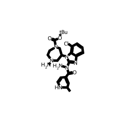 CC1C=C(C(=O)N(N)c2nc3cccc(Cl)c3n2C2CN(N)CCN(C(=O)OC(C)(C)C)C2)C=CN1